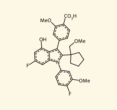 COCC1(c2c(-c3ccc(C(=O)O)c(OC)c3)c3c(O)cc(F)cc3n2-c2ccc(F)c(OC)c2)CCCC1